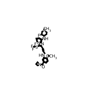 COc1ccc(C(=O)N2CCC2)cc1NCC#Cc1nc2c(N[C@@H]3CCN(C)C[C@@H]3F)cccn2c1SC(F)(F)F